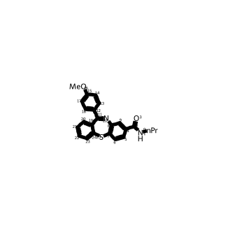 CCCNC(=O)c1ccc2c(c1)N=C(c1ccc(OC)cc1)c1ccccc1S2